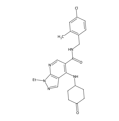 CCn1ncc2c(NC3CCC(=O)CC3)c(C(=O)NCc3ccc(Cl)cc3C)cnc21